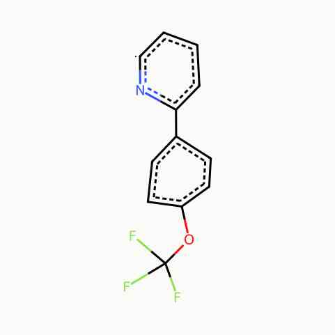 FC(F)(F)Oc1ccc(-c2ccc[c]n2)cc1